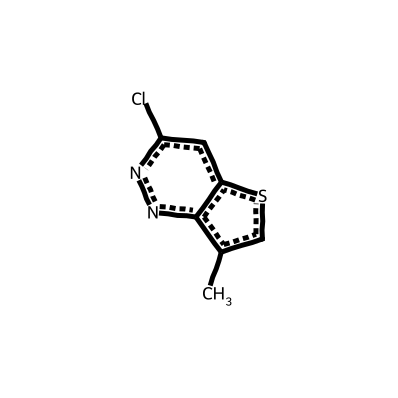 Cc1csc2cc(Cl)nnc12